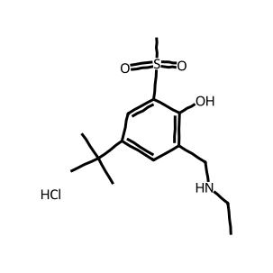 CCNCc1cc(C(C)(C)C)cc(S(C)(=O)=O)c1O.Cl